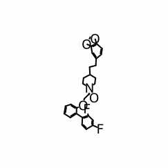 O=C(COc1ccccc1-c1ccc(F)cc1F)N1CCC(CCc2ccc3c(c2)OCO3)CC1